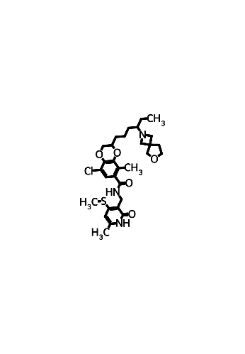 CCC(CCCC1COc2c(Cl)cc(C(=O)NCc3c(SC)cc(C)[nH]c3=O)c(C)c2O1)N1CC2(CCOC2)C1